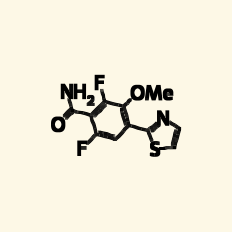 COc1c(-c2nccs2)cc(F)c(C(N)=O)c1F